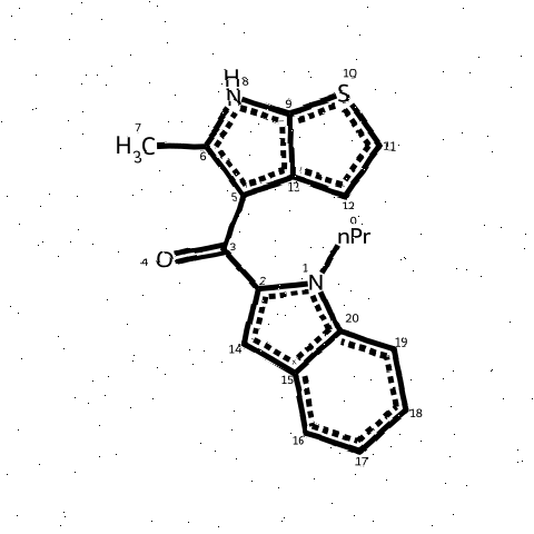 CCCn1c(C(=O)c2c(C)[nH]c3sccc23)cc2ccccc21